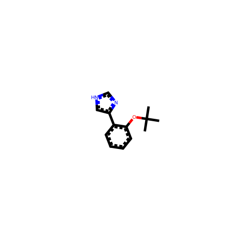 CC(C)(C)Oc1ccccc1-c1c[nH][c]n1